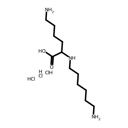 Cl.Cl.Cl.NCCCCCCNC(CCCCN)C(=O)O